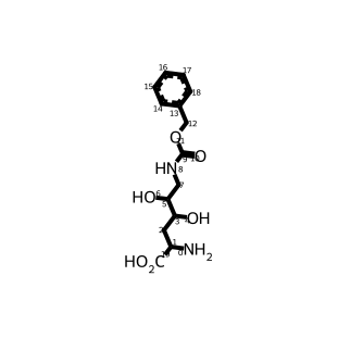 NC(CC(O)C(O)CNC(=O)OCc1ccccc1)C(=O)O